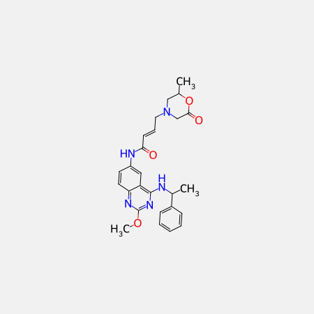 COc1nc(NC(C)c2ccccc2)c2cc(NC(=O)C=CCN3CC(=O)OC(C)C3)ccc2n1